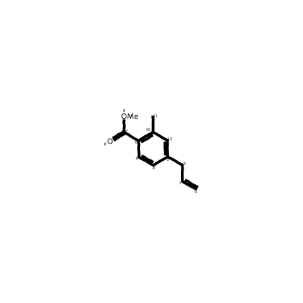 C=CCc1ccc(C(=O)OC)c(C)c1